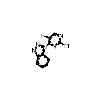 Fc1cnc(Cl)nc1-n1nnc2ccccc21